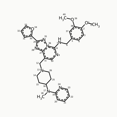 COc1ccc(CNc2ncc(CN3CCC(N(C)c4ccccn4)CC3)c3nc(-c4ccco4)nn23)cc1OC